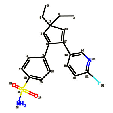 CCC1(CC)C=C(c2ccc(S(N)(=O)=O)cc2)C(c2ccc(F)nc2)=C1